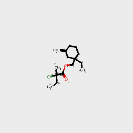 C=C1CCCC(CC)(COC(=O)C(C)(Cl)CC)C1